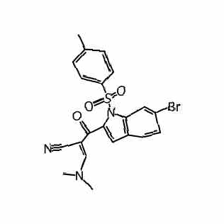 Cc1ccc(S(=O)(=O)n2c(C(=O)/C(C#N)=C/N(C)C)cc3ccc(Br)cc32)cc1